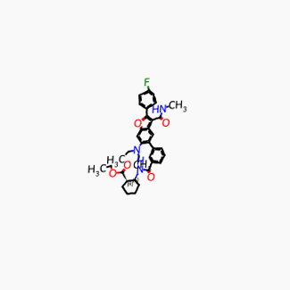 CCOC(=O)[C@@H]1CCCC[C@@H]1NC(=O)c1cccc(-c2cc3c(C(=O)NC)c(-c4ccc(F)cc4)oc3cc2N(CC)CC)c1